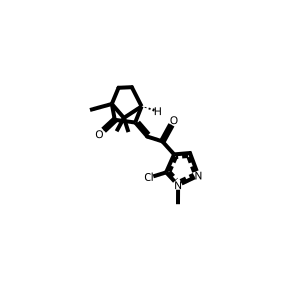 Cn1ncc(C(=O)/C=C2/C(=O)C3(C)CC[C@@H]2C3(C)C)c1Cl